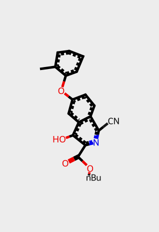 CCCCOC(=O)c1nc(C#N)c2ccc(Oc3ccccc3C)cc2c1O